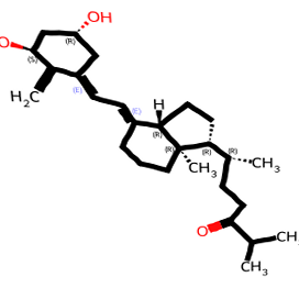 C=C1/C(=C/C=C2\CCC[C@]3(C)[C@@H]([C@H](C)CCC(=O)C(C)C)CC[C@@H]23)C[C@@H](O)C[C@@H]1O